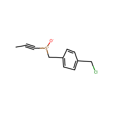 CC#C[S+]([O-])Cc1ccc(CCl)cc1